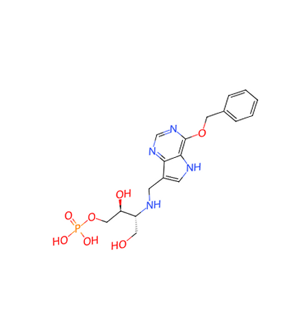 O=P(O)(O)OC[C@@H](O)[C@@H](CO)NCc1c[nH]c2c(OCc3ccccc3)ncnc12